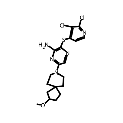 COC1CCC2(CCN(c3cnc(Sc4ccnc(Cl)c4Cl)c(N)n3)CC2)C1